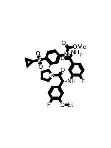 CCOc1cc([C@@H](Nc2cc(C(N)=O)ccc2F)C(=O)N2CCC[C@@H]2c2cc(NC(=O)OC)ccc2S(=O)(=O)C2CC2)ccc1F